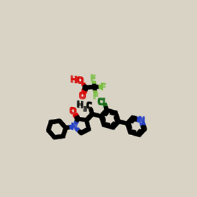 CC(c1ccc(-c2cccnc2)cc1Cl)C1CCN(C2CCCCC2)C1=O.O=C(O)C(F)(F)F